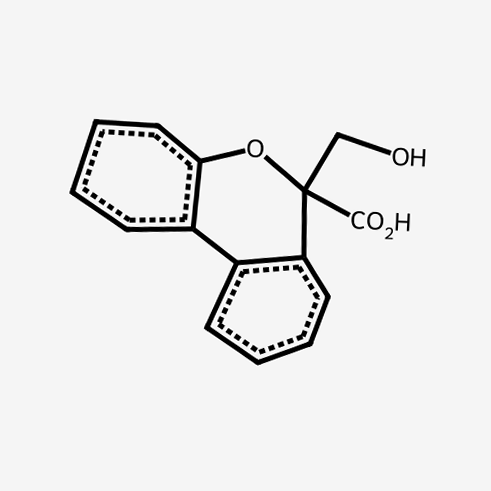 O=C(O)C1(CO)Oc2ccccc2-c2ccccc21